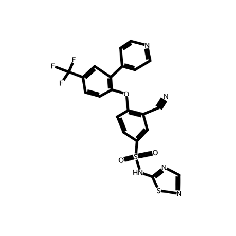 N#Cc1cc(S(=O)(=O)Nc2ncns2)ccc1Oc1ccc(C(F)(F)F)cc1-c1ccncc1